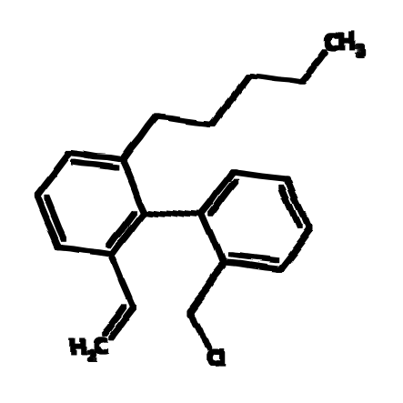 C=Cc1cccc(CCCCC)c1-c1ccccc1CCl